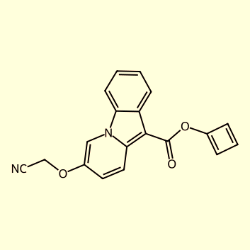 N#CCOc1ccc2c(C(=O)OC3=CC=C3)c3ccccc3n2c1